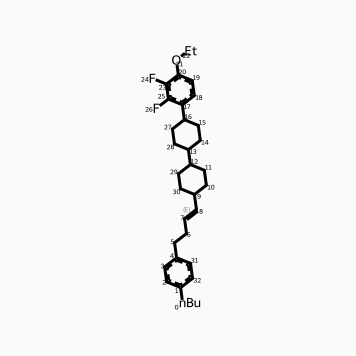 CCCCc1ccc(CC/C=C/C2CCC(C3CCC(c4ccc(OCC)c(F)c4F)CC3)CC2)cc1